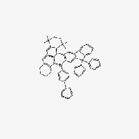 CC1(C)CCC(C)(C)c2c(-c3cc4c(cc3N(c3ccc(-c5ccccc5)cc3)c3cccc5c3CCCC5)C(c3ccccc3)(c3ccccc3)c3ccccc3-4)cccc21